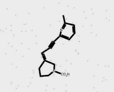 Cc1cccc(C#C/C=C2/CCCN(C(=O)O)C2)n1